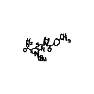 Cc1ccc(C(=O)Nc2nc3c(s2)c(C(N)=O)cn3C(C)(C)C)cc1